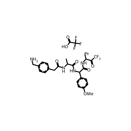 COc1ccc(C(NC(=O)C(C)NC(=O)Cc2ccc(CN)cc2)C(=O)NC(C(=O)C(F)(F)F)C(C)C)cc1.O=C(O)C(F)(F)F